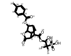 O=C(OC1C2CC3C1OC(=O)C3C2C(=O)OC(O)C(F)(F)S(=O)(=O)O)c1ccc(I)cc1